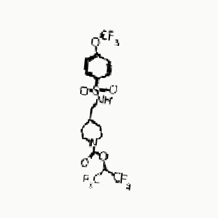 O=C(OC(C(F)(F)F)C(F)(F)F)N1CCC(CNS(=O)(=O)c2ccc(OC(F)(F)F)cc2)CC1